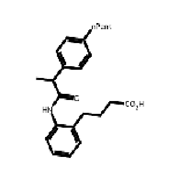 CCCCCc1ccc(C(C)C(=O)Nc2ccccc2CCCC(=O)O)cc1